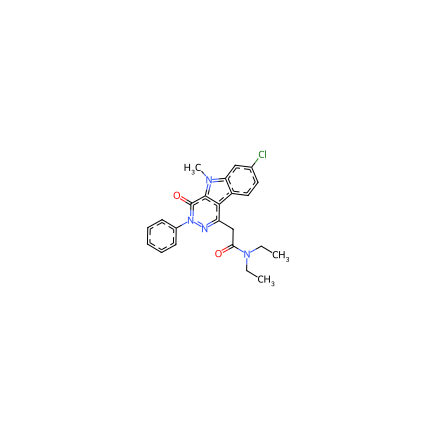 CCN(CC)C(=O)Cc1nn(-c2ccccc2)c(=O)c2c1c1ccc(Cl)cc1n2C